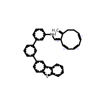 C=C1CC\C=C/C=C\C=C/C1=C/Nc1cccc(-c2cccc(-c3ccc4sc5ccccc5c4c3)c2)c1